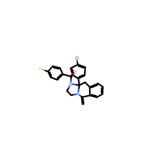 C=C1c2ccccc2CC2(c3ccc(Cl)cc3)N1CCN2C(=O)c1ccc(F)cc1